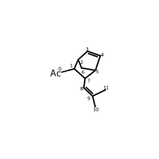 CC(=O)C1C2C=CC(C2)C1C=C(C)C